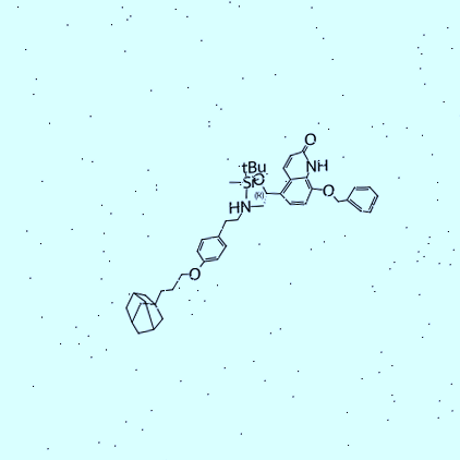 CC(C)(C)[Si](C)(C)O[C@@H](CNCCc1ccc(OCCCC23CC4CC(CC(C4)C2)C3)cc1)c1ccc(OCc2ccccc2)c2[nH]c(=O)ccc12